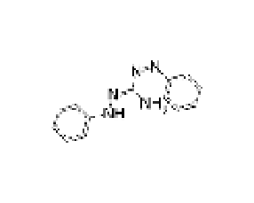 NC(/N=N\c1ccccc1)=N\Nc1ccccc1